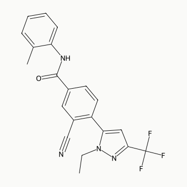 CCn1nc(C(F)(F)F)cc1-c1ccc(C(=O)Nc2ccccc2C)cc1C#N